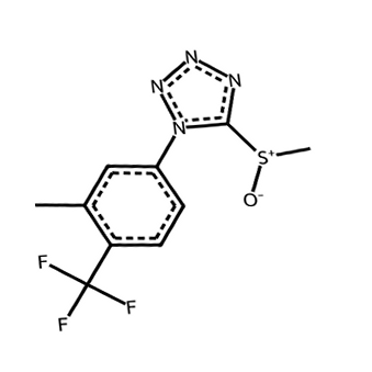 Cc1cc(-n2nnnc2[S+](C)[O-])ccc1C(F)(F)F